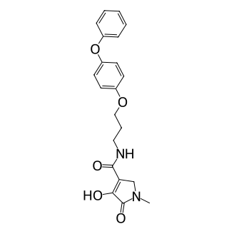 CN1CC(C(=O)NCCCOc2ccc(Oc3ccccc3)cc2)=C(O)C1=O